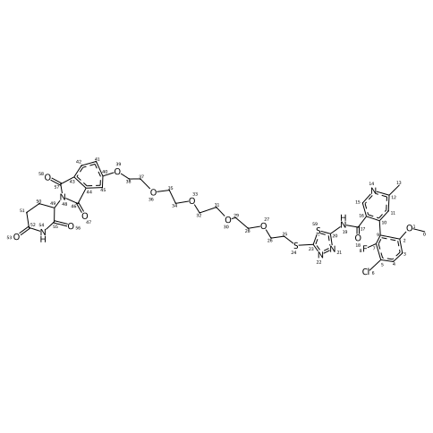 COc1ccc(Cl)c(F)c1-c1cc(C)ncc1C(=O)Nc1nnc(SCCOCCOCCOCCOCCOc2ccc3c(c2)C(=O)N(C2CCC(=O)NC2=O)C3=O)s1